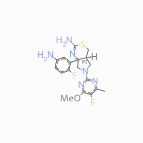 COc1nc(N2C[C@H]3CSC(N)=N[C@@]3(c3cc(N)ccc3F)C2)nc(C)c1F